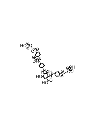 O=C(O)c1cc(O)c(N=Nc2ccc(N=Nc3ccc(S(=O)(=O)CCOS(=O)(=O)O)cc3S(=O)(=O)O)cc2)c(O)c1N=Nc1ccc(S(=O)(=O)CCOS(=O)(=O)O)cc1